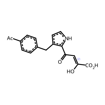 CC(=O)c1ccc(Cc2cc[nH]c2C(=O)/C=C(\O)C(=O)O)cc1